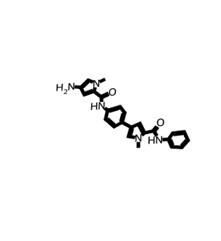 Cn1cc(N)cc1C(=O)Nc1ccc(-c2cc(C(=O)Nc3ccccc3)n(C)c2)cc1